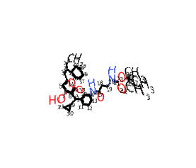 CCC(Cc1cc(O)c(C(c2cccc(NC(=O)CCNC(=O)OC(C)(C)C)c2)C2CC2)c(=O)o1)c1ccccc1